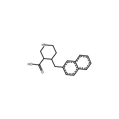 O=C(O)C1CNCCC1Cc1ccc2ccccc2c1